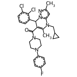 CC1=C(C(=O)N2CCN(c3ccc(F)cc3)CC2)C(c2cccc(Cl)c2Cl)n2nc(C)cc2N1CC1CC1